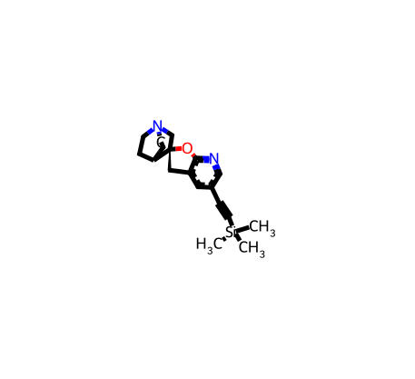 C[Si](C)(C)C#Cc1cnc2c(c1)C[C@@]1(CN3CCC1CC3)O2